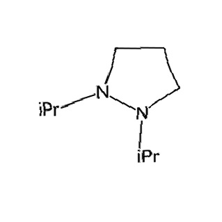 CC(C)N1CCCN1C(C)C